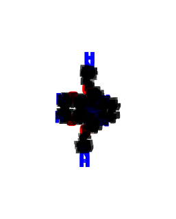 CC(C)(C)c1cc(N(C(=O)Nc2ccc(Oc3cccnc3)cc2)N(C(=O)Nc2ccc(Oc3cccnc3)cc2)c2cc(C(C)(C)C)nn2-c2ccc(OCCC3CCNCC3)cc2)n(-c2ccc(OCCC3CCNCC3)cc2)n1